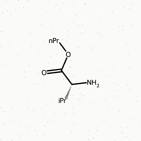 [CH2]CCOC(=O)[C@H](N)C(C)C